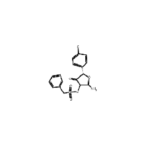 NC1O[C@@H](c2ccc(Cl)cc2)C(=O)C1OS(=O)(=O)Cc1ccccc1